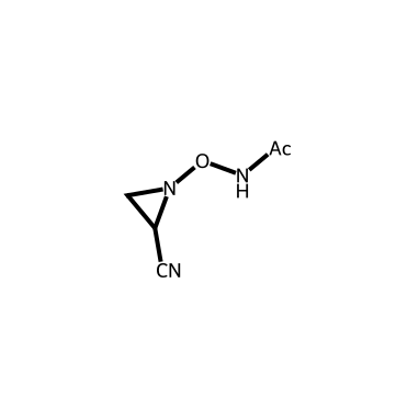 CC(=O)NON1CC1C#N